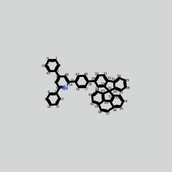 c1ccc(-c2cc(-c3ccccc3)nc(-c3ccc(-c4ccc5c(c4)C4(c6ccccc6-5)c5cccc6ccc7cccc4c7c56)cc3)c2)cc1